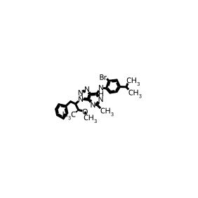 CO[C@@H](C)C(Cc1ccccc1)n1nnc2c(Nc3ccc(C(C)C)cc3Br)nc(C)nc21